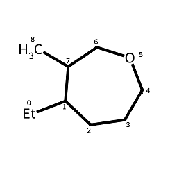 [CH2]CC1CC[CH]OCC1C